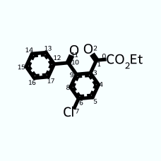 CCOC(=O)C(=O)c1ccc(Cl)cc1C(=O)c1ccccc1